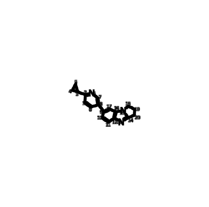 c1cc(C2CC2)ncc1-c1ccc2nc3n(c2c1)CCC3